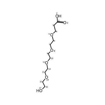 O=C(O)CCOCCOCCOCCOCCO